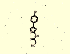 O=C(CO)Nc1nc(-c2ccc(Br)cc2)cs1